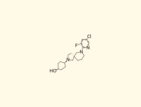 O[C@H]1CC[C@@H](N2CC[C@]3(CCCN(c4ncc(Cl)cc4F)C3)C2)CC1